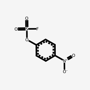 O=[N+]([O-])c1ccc(OS(=O)(=O)F)cc1